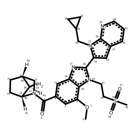 COc1cc(C(=O)N2C[C@H]3CC[C@@H]2[C@@H]3N)cc2nc(-c3cc4cccnc4n3CC3CC3)n(CCS(C)(=O)=O)c12